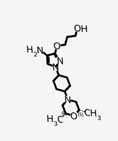 C[C@@H]1CN(C2CCC(n3cc(N)c(OCCCO)n3)CC2)C[C@H](C)O1